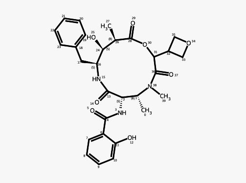 C[C@@H]1[C@H](NC(=O)c2ccccc2O)C(=O)N[C@@H](Cc2ccccc2)[C@@H](O)[C@@H](C)C(=O)OC(C2COC2)C(=O)N1C